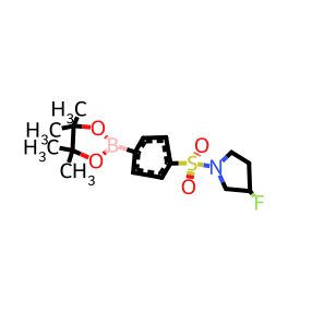 CC1(C)OB(c2ccc(S(=O)(=O)N3CCC(F)C3)cc2)OC1(C)C